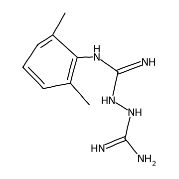 Cc1cccc(C)c1NC(=N)NNC(=N)N